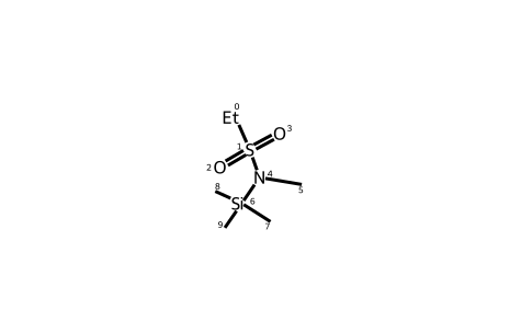 CCS(=O)(=O)N(C)[Si](C)(C)C